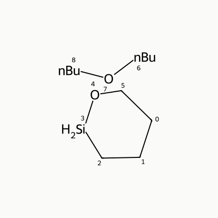 C1CC[SiH2]OC1.CCCCOCCCC